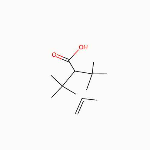 C=CC.CC(C)(C)C(C(=O)O)C(C)(C)C